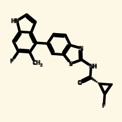 Cc1c(F)cc2[nH]ccc2c1-c1ccc2nc(NC(=O)[C@@H]3CC3F)sc2c1